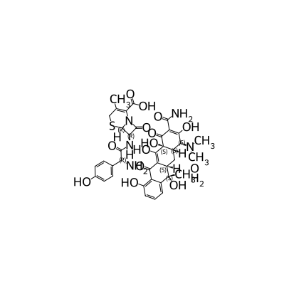 CC1=C(C(=O)O)N2C(=O)[C@@H](NC(=O)[C@H](N)c3ccc(O)cc3)[C@H]2SC1.CN(C)[C@@H]1C(O)=C(C(N)=O)C(=O)[C@@]2(O)C(O)=C3C(=O)c4c(O)cccc4[C@@](C)(O)[C@H]3C[C@@H]12.O